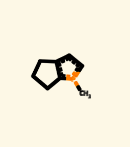 Cp1ccc2c1CCC2